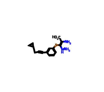 NN/C(Sc1cccc(C#CCC2CC2)c1)=C(\N)C(=O)O